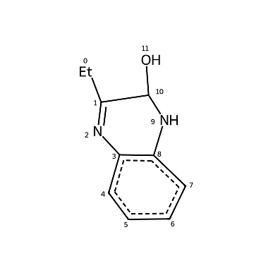 CCC1=Nc2ccccc2NC1O